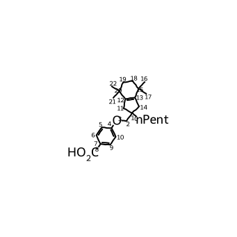 CCCCCC1(COc2ccc(C(=O)O)cc2)CC2=C(C1)C(C)(C)CCC2(C)C